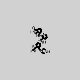 O=C(Nc1ccc(C(F)(F)C(F)(F)F)c(CN2CCNCC2)c1)c1cccnc1Nc1cccc2c1CNC2=O